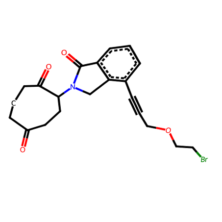 O=C1CCCC(=O)C(N2Cc3c(C#CCOCCBr)cccc3C2=O)CC1